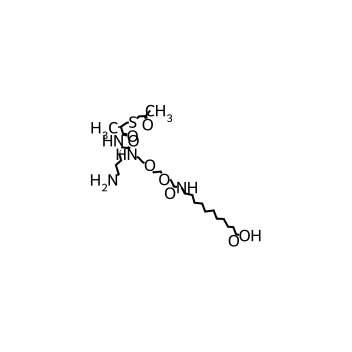 CC(=O)CSC[C@H](C)C(=O)N[C@@H](CCCCN)C(=O)NCCOCCOCC(=O)NCCCCCCCCCCC(=O)O